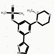 C[C@@H]1COCCN1c1cc(N=S(C)(C)=O)nc(-c2cc[nH]n2)n1